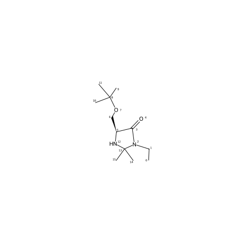 CCN1C(=O)[C@H](COC(C)(C)C)NC1(C)C